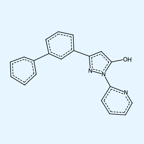 Oc1cc(-c2cccc(-c3ccccc3)c2)nn1-c1ccccn1